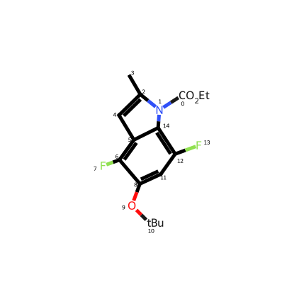 CCOC(=O)n1c(C)cc2c(F)c(OC(C)(C)C)cc(F)c21